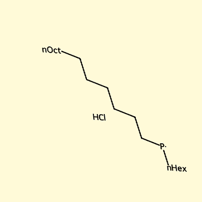 CCCCCCCCCCCCCC[P]CCCCCC.Cl